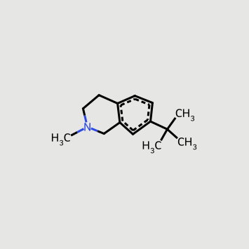 CN1CCc2ccc(C(C)(C)C)cc2C1